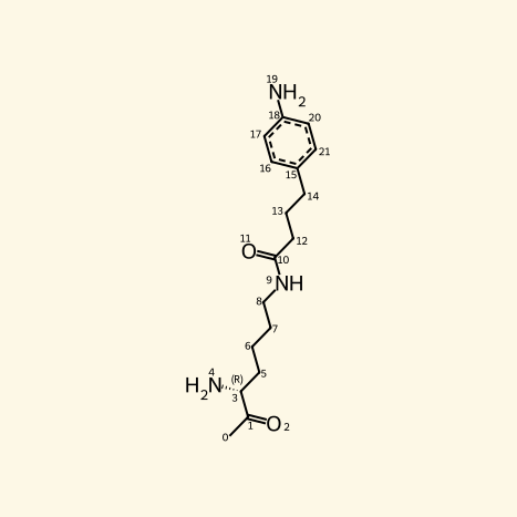 CC(=O)[C@H](N)CCCCNC(=O)CCCc1ccc(N)cc1